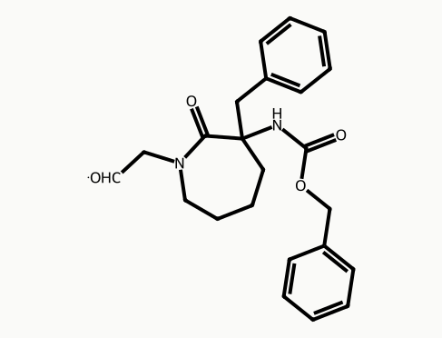 O=[C]CN1CCCCC(Cc2ccccc2)(NC(=O)OCc2ccccc2)C1=O